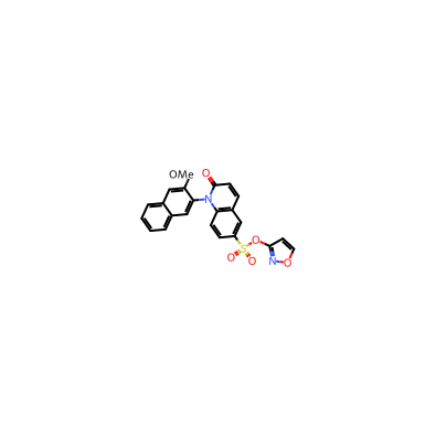 COc1cc2ccccc2cc1-n1c(=O)ccc2cc(S(=O)(=O)Oc3ccon3)ccc21